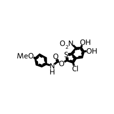 COc1ccc(NC(=O)Oc2sc3c([N+](=O)[O-])c(O)c(O)cc3c2Cl)cc1